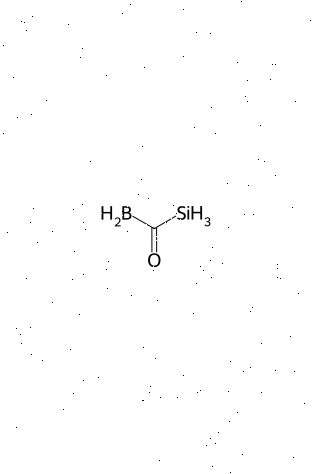 BC(=O)[SiH3]